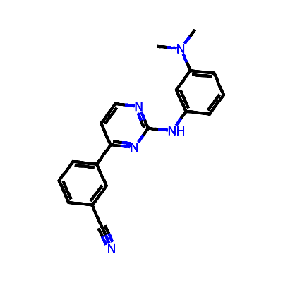 CN(C)c1cccc(Nc2nccc(-c3cccc(C#N)c3)n2)c1